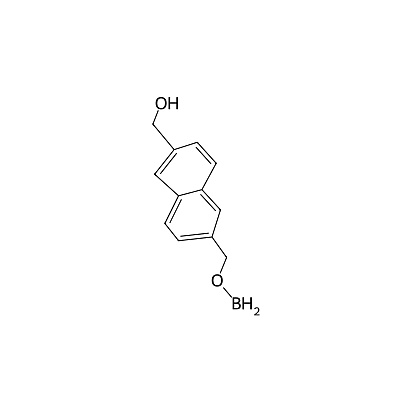 BOCc1ccc2cc(CO)ccc2c1